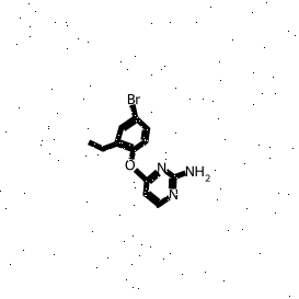 CCc1cc(Br)ccc1Oc1ccnc(N)n1